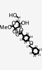 CO[C@H]1O[C@H](CO)[C@H](O)[C@H](OC(=O)c2ccc(OCc3ccccc3)cc2)[C@H]1O